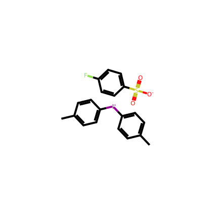 Cc1ccc([I+]c2ccc(C)cc2)cc1.O=S(=O)([O-])c1ccc(F)cc1